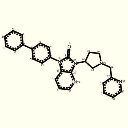 O=c1n(-c2ccc(-c3ccccc3)cc2)c2cccnc2n1C1CCN(Cc2ccccn2)C1